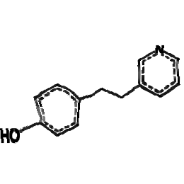 Oc1ccc(CCc2cccnc2)cc1